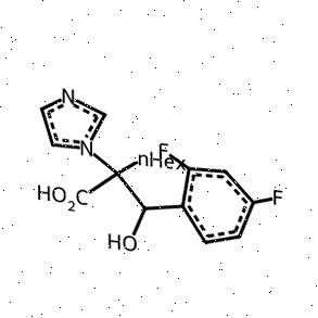 CCCCCCC(C(=O)O)(C(O)c1ccc(F)cc1F)n1ccnc1